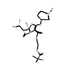 CCCC(C)(C)C(=O)OCOC(=O)C1=C(S[C@H]2CC[S@@+]([O-])C2)S[C@@H]2[C@@H]([C@@H](C)O)C(=O)N12